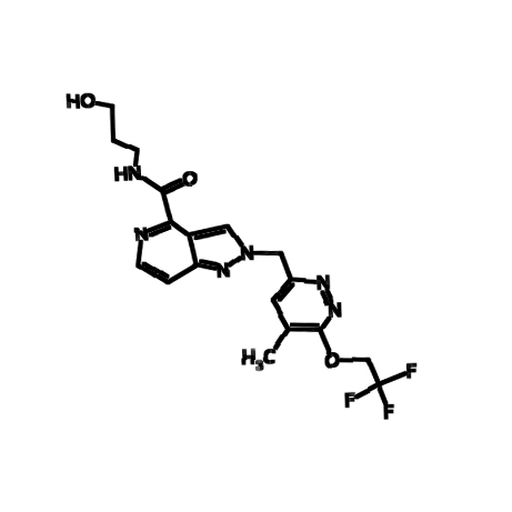 Cc1cc(Cn2cc3c(C(=O)NCCCO)nccc3n2)nnc1OCC(F)(F)F